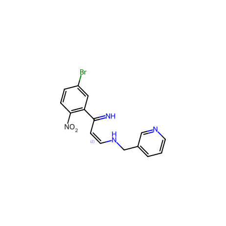 N=C(/C=C\NCc1cccnc1)c1cc(Br)ccc1[N+](=O)[O-]